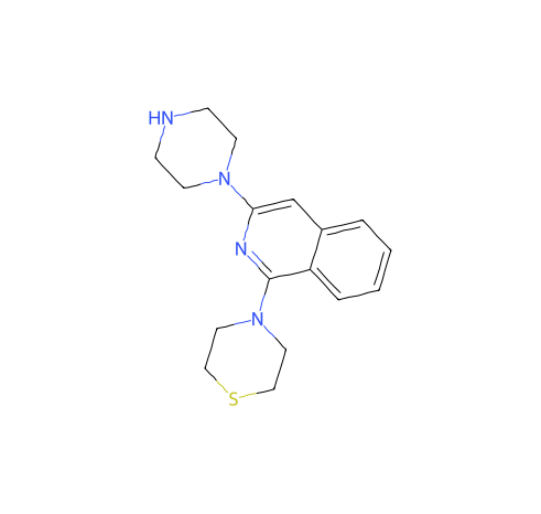 c1ccc2c(N3CCSCC3)nc(N3CCNCC3)cc2c1